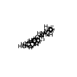 C[C@]12CC[C@H](O)C[C@H]1CC[C@@H]1[C@@H]2CC[C@]2(C)[C@@H](C=NNC(=N)Nc3ccccc3)CC[C@]12O